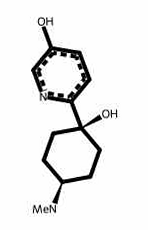 CN[C@H]1CC[C@](O)(c2ccc(O)cn2)CC1